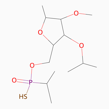 COC1C(C)OC(COP(=O)(S)C(C)C)C1OC(C)C